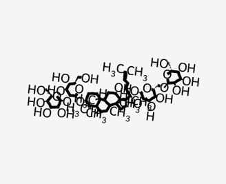 CC(C)=CCC[C@](C)(O[C@@H]1O[C@H](CO[C@H]2O[C@H](CO)[C@@H](O)[C@H](O)[C@H]2O)[C@@H](O)[C@H](O)[C@H]1O)[C@H]1CC[C@]2(C)[C@@H]1[C@H](O)C[C@@H]1[C@@]3(C)CC[C@H](O[C@@H]4O[C@H](CO)[C@@H](O)[C@H](O)[C@H]4O[C@@H]4O[C@H](CO)[C@@H](O)[C@H](O)[C@H]4O)C(C)(C)[C@@H]3CC[C@]12C